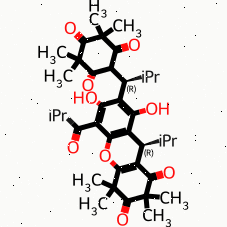 CC(C)C(=O)c1c(O)c([C@H](C(C)C)C2C(=O)C(C)(C)C(=O)C(C)(C)C2=O)c(O)c2c1OC1=C(C(=O)C(C)(C)C(=O)C1(C)C)[C@@H]2C(C)C